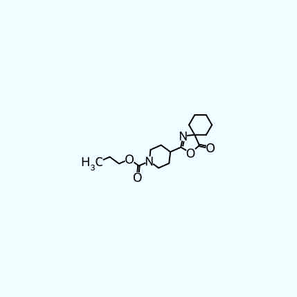 CCCOC(=O)N1CCC(C2=NC3(CCCCC3)C(=O)O2)CC1